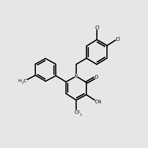 Cc1cccc(-c2cc(C(F)(F)F)c(C#N)c(=O)n2Cc2ccc(Cl)c(Cl)c2)c1